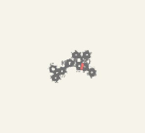 O=P1(c2cccc(-c3ccccc3)c2)C2=C(c3ccccc3N(C3=CC4=C(c5ccc6c(c5)c5c(c7ccccc76)CCC=C5)[C@@H]4C=C3)c3ccccc32)c2ccccc21